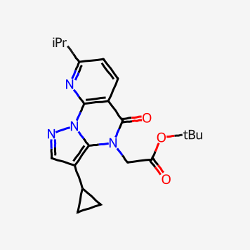 CC(C)c1ccc2c(=O)n(CC(=O)OC(C)(C)C)c3c(C4CC4)cnn3c2n1